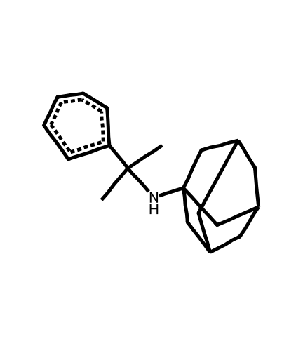 CC(C)(NC12CC3CC(CC(C3)C1)C2)c1ccccc1